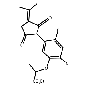 CCOC(=O)C(C)Oc1cc(N2C(=O)CC(=C(C)C)C2=O)c(F)cc1Cl